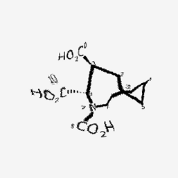 O=C(O)[C@H]1CC2(CC2)CN(C(=O)O)[C@@H]1C(=O)O